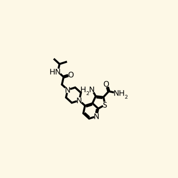 CC(C)NC(=O)CN1CCN(c2ccnc3sc(C(N)=O)c(N)c23)CC1